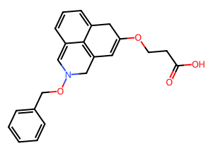 O=C(O)CCOC1=CC2=c3c(cccc3=CN(OCc3ccccc3)C2)C1